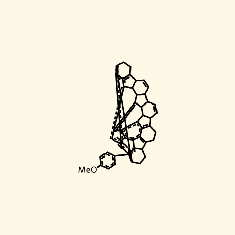 COc1ccc(C2N(C)CC34c5c6c7c8c9c5=C5CCC=9C9C=CC%10C%11C=CC%12C%13=c%14c%15c(c-6c6c%14=C(CC%13)C(CCC53)C624)C7=C(C%10C89)C%11C%15%12)cc1